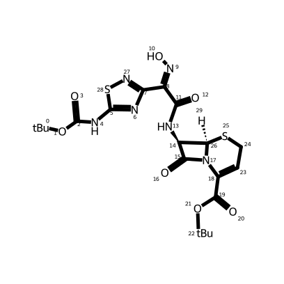 CC(C)(C)OC(=O)Nc1nc(/C(=N\O)C(=O)N[C@@H]2C(=O)N3C(C(=O)OC(C)(C)C)=CCS[C@H]23)ns1